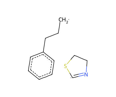 [CH2]CCc1ccccc1.[C]1=NCCS1